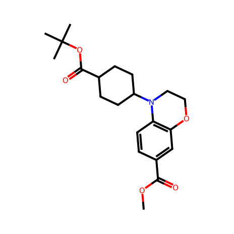 COC(=O)c1ccc2c(c1)OCCN2C1CCC(C(=O)OC(C)(C)C)CC1